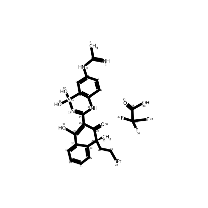 CC(=N)Nc1ccc2c(c1)S(O)(O)N=C(C1=C(O)c3ccccc3[C@@](C)(CCC(C)C)C1=O)N2.O=C(O)C(F)(F)F